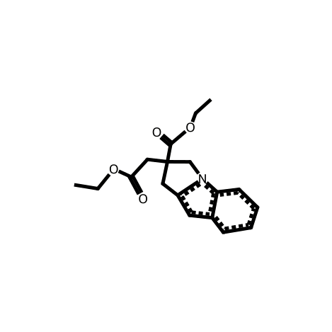 CCOC(=O)CC1(C(=O)OCC)Cc2cc3ccccc3n2C1